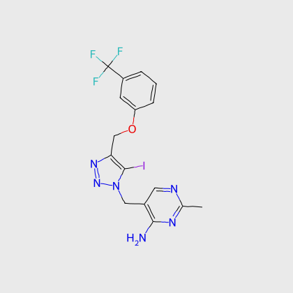 Cc1ncc(Cn2nnc(COc3cccc(C(F)(F)F)c3)c2I)c(N)n1